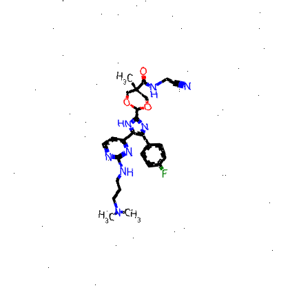 CN(C)CCCNc1nccc(-c2[nH]c(C3OCC(C)(C(=O)NCC#N)CO3)nc2-c2ccc(F)cc2)n1